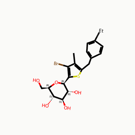 CCc1ccc(Cc2sc([C@@H]3O[C@H](CO)[C@@H](O)[C@H](O)[C@H]3O)c(Br)c2C)cc1